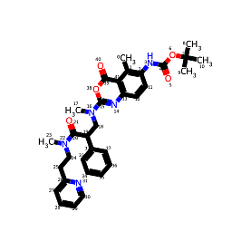 Cc1c(NC(=O)OC(C)(C)C)ccc2nc(N(C)CC(C(=O)N(C)CCc3ccccn3)c3ccccc3)oc(=O)c12